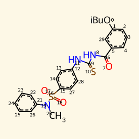 CC(C)COc1cccc(C(=O)NC(=S)Nc2ccc(S(=O)(=O)N(C)c3ccccc3)cc2)c1